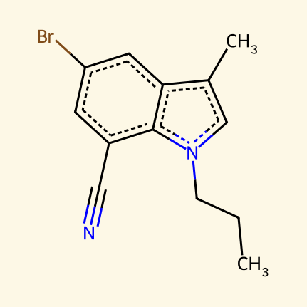 CCCn1cc(C)c2cc(Br)cc(C#N)c21